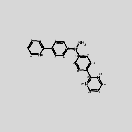 NN(c1ccc(-c2ccccn2)cc1)c1ccc(-c2ncccn2)cc1